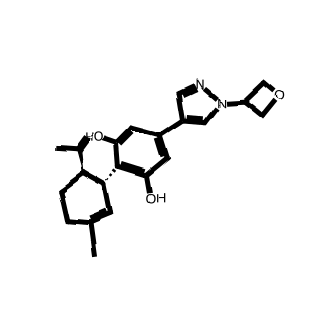 C=C(C)[C@@H]1CCC(C)=C[C@H]1c1c(O)cc(-c2cnn(C3COC3)c2)cc1O